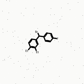 CCc1ccc(C(Br)c2ccc(F)cc2)cc1CC